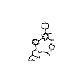 CNCC(O)COc1cccc(-c2nc(N[C@@H]3CC[C@H](C(=O)NC)C3)c(C)c(N3CCOCC3)n2)c1